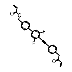 C=CC(=O)Cc1ccc(C#Cc2c(F)cc(-c3ccc(COC(=O)C=C)cc3)cc2F)cc1